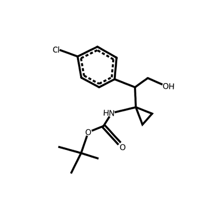 CC(C)(C)OC(=O)NC1(C(CO)c2ccc(Cl)cc2)CC1